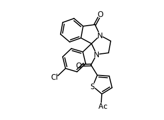 CC(=O)c1ccc(C(=O)N2CCN3C(=O)c4ccccc4C23c2ccc(Cl)cc2)s1